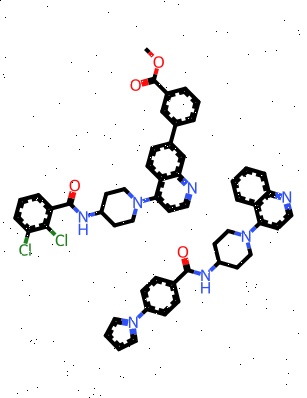 COC(=O)c1cccc(-c2ccc3c(N4CCC(NC(=O)c5cccc(Cl)c5Cl)CC4)ccnc3c2)c1.O=C(NC1CCN(c2ccnc3ccccc23)CC1)c1ccc(-n2cccc2)cc1